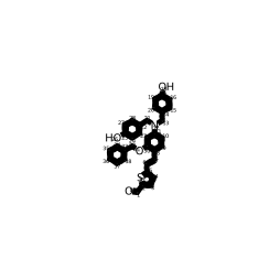 O=Cc1ccc(/C=C/c2ccc(N(Cc3ccc(O)cc3)Cc3ccc(O)cc3)cc2OCc2ccccc2)s1